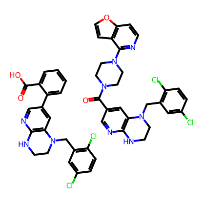 O=C(O)c1ccccc1-c1cnc2c(c1)N(Cc1cc(Cl)ccc1Cl)CCN2.O=C(c1cnc2c(c1)N(Cc1cc(Cl)ccc1Cl)CCN2)N1CCN(c2nccc3occc23)CC1